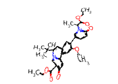 CCOC(=O)c1cn2c(cc1=O)-c1cc(OC)c(-c3ccc(=O)n(C(C)C(=O)OCC)c3)cc1CC2C(C)(C)C